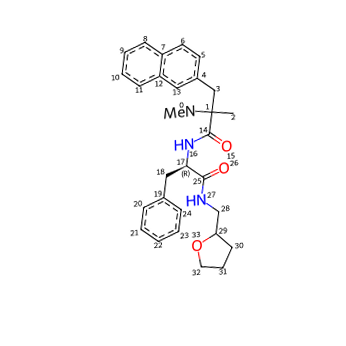 CNC(C)(Cc1ccc2ccccc2c1)C(=O)N[C@H](Cc1ccccc1)C(=O)NCC1CCCO1